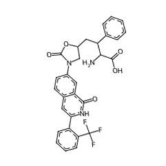 NC(C(=O)O)C(CC1CN(c2ccc3cc(-c4ccccc4C(F)(F)F)[nH]c(=O)c3c2)C(=O)O1)c1ccccc1